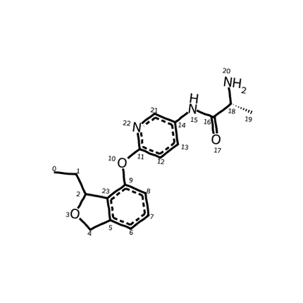 CCC1OCc2cccc(Oc3ccc(NC(=O)[C@@H](C)N)cn3)c21